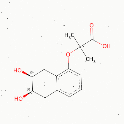 CC(C)(Oc1cccc2c1C[C@H](O)[C@H](O)C2)C(=O)O